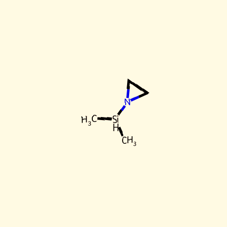 C[SiH](C)N1CC1